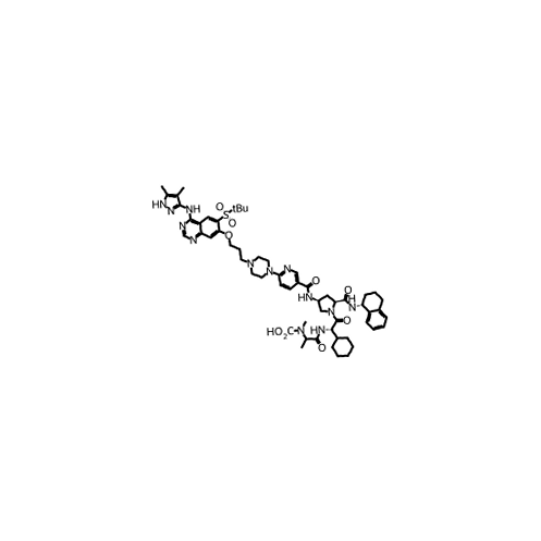 Cc1[nH]nc(Nc2ncnc3cc(OCCCN4CCN(c5ccc(C(=O)N[C@H]6C[C@@H](C(=O)N[C@@H]7CCCc8ccccc87)N(C(=O)[C@@H](NC(=O)C(C)N(C)C(=O)O)C7CCCCC7)C6)cn5)CC4)c(S(=O)(=O)C(C)(C)C)cc23)c1C